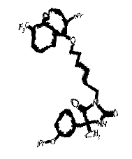 CCCc1cnc2c(C(F)(F)F)cccc2c1OCCCCCCN1C(=O)NC(C)(c2cccc(OC(C)C)c2)C1=O